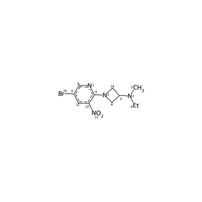 CCN(C)C1CN(c2ncc(Br)cc2[N+](=O)[O-])C1